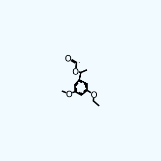 CCOc1cc(OC)cc(C(C)O[C]=O)c1